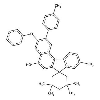 Cc1ccc(-c2cc3c4c(cc(O)c3cc2Oc2ccccc2)C2(CC(C)(C)CC(C)(C)C2)c2cc(C)ccc2-4)cc1